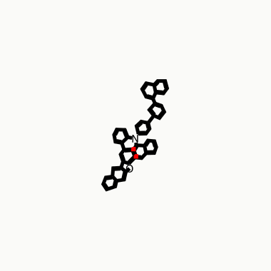 c1cc(-c2ccc(N(c3ccccc3-c3ccc4oc5cc6ccccc6cc5c4c3)c3cccc4ccccc34)cc2)cc(-c2cccc3ccccc23)c1